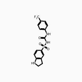 O=C(Nc1ccc(C(F)(F)F)cc1)NS(=O)(=O)c1ccc2c(c1)CCN2